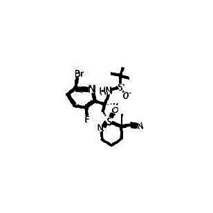 CC(C)(C)[S@@+]([O-])N[C@@](C)(C[S@@]1(=O)=NCCC[C@@]1(C)C#N)c1nc(Br)ccc1F